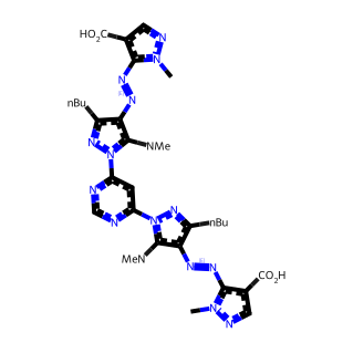 CCCCc1nn(-c2cc(-n3nc(CCCC)c(/N=N/c4c(C(=O)O)cnn4C)c3NC)ncn2)c(NC)c1/N=N/c1c(C(=O)O)cnn1C